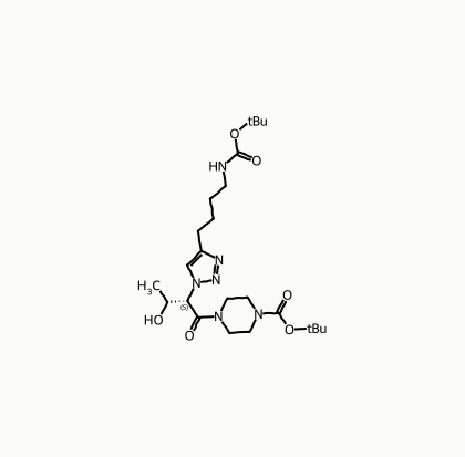 CC(O)[C@@H](C(=O)N1CCN(C(=O)OC(C)(C)C)CC1)n1cc(CCCCNC(=O)OC(C)(C)C)nn1